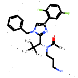 CC(=O)N(CCCN)[C@@H](c1nc(-c2cc(F)ccc2F)cn1Cc1ccccc1)C(C)(C)C